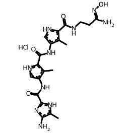 Cc1[nH]c(C(=O)Nc2c[nH]c(C(=O)Nc3c[nH]c(C(=O)NCCC(N)=NO)c3C)c2C)nc1N.Cl